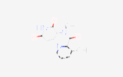 Cc1cccnc1C(=O)N(C)C1CCC(=O)NC1=O